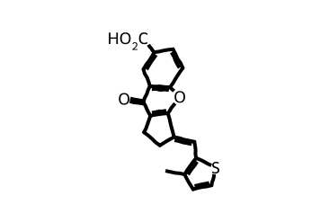 Cc1ccsc1C=C1CCc2c1oc1ccc(C(=O)O)cc1c2=O